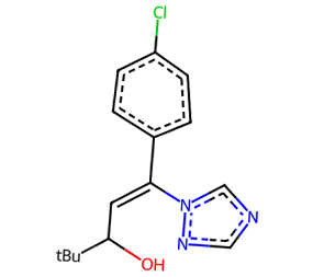 CC(C)(C)C(O)C=C(c1ccc(Cl)cc1)n1cncn1